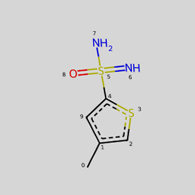 Cc1csc(S(=N)(N)=O)c1